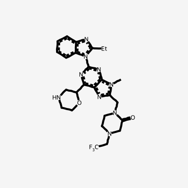 CCc1nc2ccccc2n1-c1nc(C2CNCCO2)c2nc(CN3CCN(CC(F)(F)F)CC3=O)n(C)c2n1